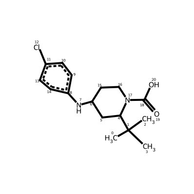 CC(C)(C)C1CC(Nc2ccc(Cl)cc2)CCN1C(=O)O